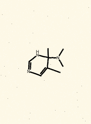 CC1=CN=CNC1(C)N(C)C